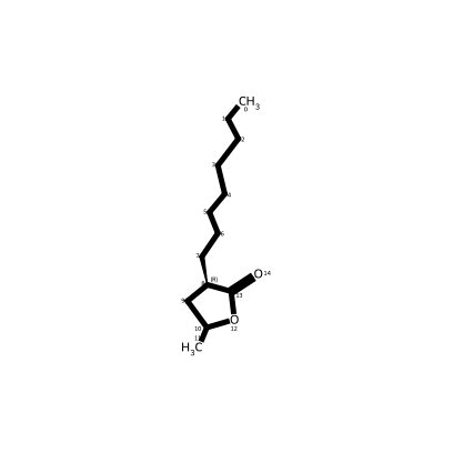 CCCCCCCC[C@@H]1CC(C)OC1=O